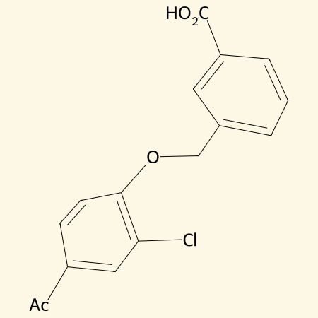 CC(=O)c1ccc(OCc2cccc(C(=O)O)c2)c(Cl)c1